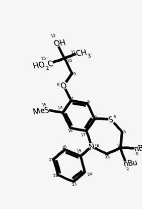 CCCCC1(CCCC)CSc2cc(OCC(C)(O)C(=O)O)c(SC)cc2N(c2ccccc2)C1